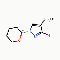 CCOC(=O)c1cn([C@H]2CCCCO2)nc1I